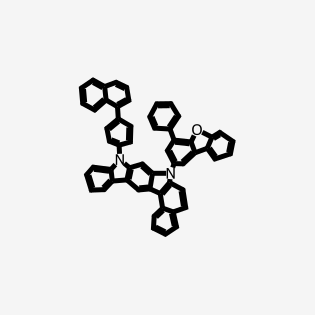 c1ccc(-c2cc(-n3c4cc5c(cc4c4c6ccccc6ccc43)c3ccccc3n5-c3ccc(-c4cccc5ccccc45)cc3)cc3c2oc2ccccc23)cc1